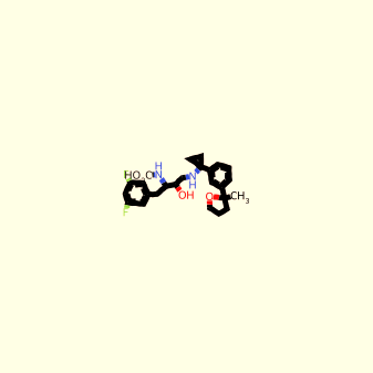 CC1(c2cccc(C3(NCC(O)C(Cc4cc(F)cc(F)c4)NC(=O)O)CC3)c2)CCCO1